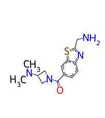 CN(C)C1CN(C(=O)c2ccc3nc(CN)sc3c2)C1